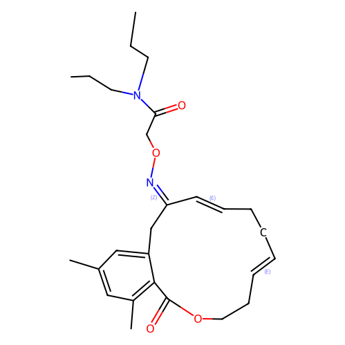 CCCN(CCC)C(=O)CO/N=C1\C=C\CC/C=C/CCOC(=O)c2c(C)cc(C)cc2C1